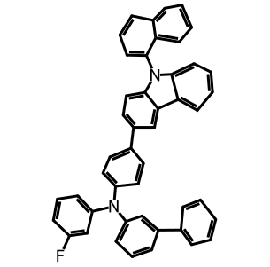 Fc1cccc(N(c2ccc(-c3ccc4c(c3)c3ccccc3n4-c3cccc4ccccc34)cc2)c2cccc(-c3ccccc3)c2)c1